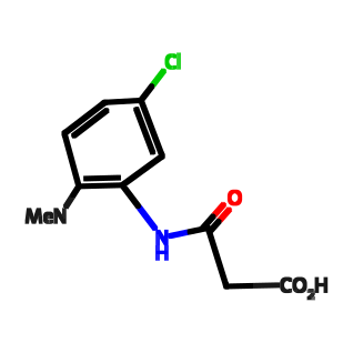 CNc1ccc(Cl)cc1NC(=O)CC(=O)O